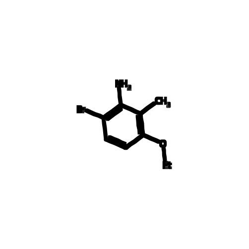 CCOc1ccc(Br)c(N)c1C